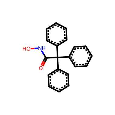 O=C(NO)C(c1ccccc1)(c1ccccc1)c1ccccc1